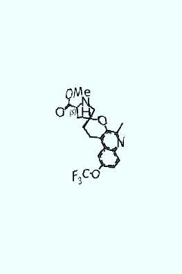 COC(=O)[C@@H]1CC2(CCc3c(c(C)nc4ccc(OC(F)(F)F)cc34)O2)CN1